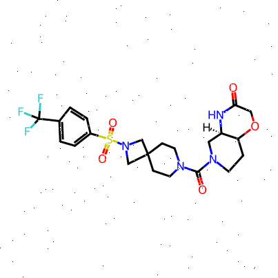 O=C1COC2CCN(C(=O)N3CCC4(CC3)CN(S(=O)(=O)c3ccc(C(F)(F)F)cc3)C4)C[C@H]2N1